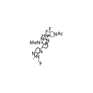 CNc1nc(N[C@@H]2CCN(C(C)=O)CC2(F)F)nn2ccc(-c3ccc4nc(C)n(CCF)c4n3)c12